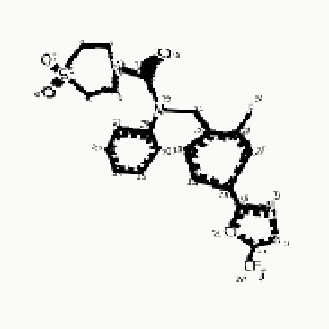 O=C(N1CCS(=O)(=O)CC1)N(Cc1ccc(-c2nnc(C(F)(F)F)o2)cc1F)c1ccccc1